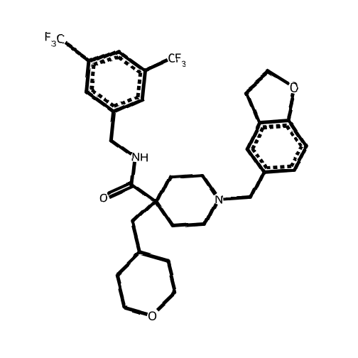 O=C(NCc1cc(C(F)(F)F)cc(C(F)(F)F)c1)C1(CC2CCOCC2)CCN(Cc2ccc3c(c2)CCO3)CC1